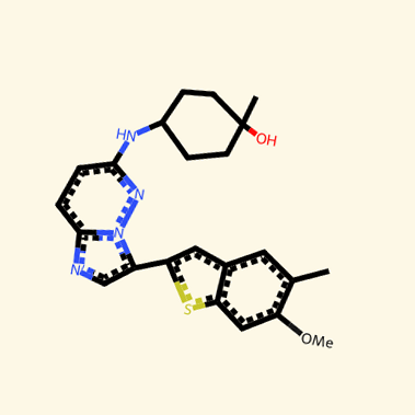 COc1cc2sc(-c3cnc4ccc(NC5CCC(C)(O)CC5)nn34)cc2cc1C